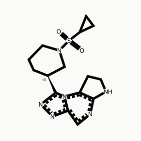 O=S(=O)(C1CC1)N1CCC[C@H](c2nnc3cnc4c(n23)CCN4)C1